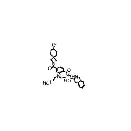 CCN1CCN(CC(O)C2Cc3ccccc3CN2)C(=O)c2ccc(C(=O)N3CC4(CCC(OC)CC4)C3)cc21.Cl